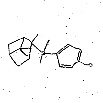 CC1(C)C2CCC(C)([Si](C)(C)c3ccc(Br)cc3)C1C2